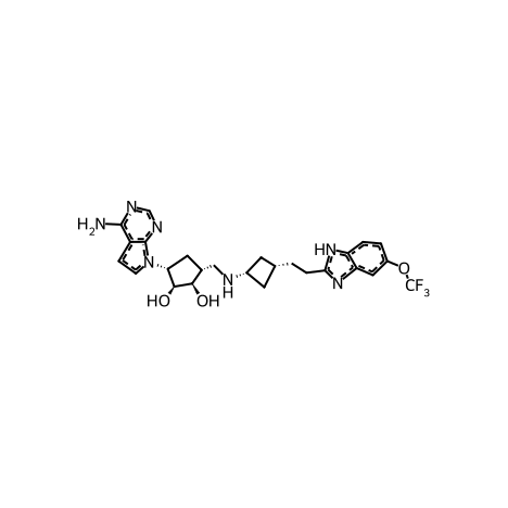 Nc1ncnc2c1ccn2[C@@H]1C[C@H](CN[C@H]2C[C@@H](CCc3nc4cc(OC(F)(F)F)ccc4[nH]3)C2)[C@@H](O)[C@H]1O